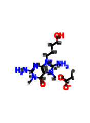 CCC(=O)[O-].Cn1c(N)nc2c(c1=O)n(C)c(N)[n+]2CCCCO